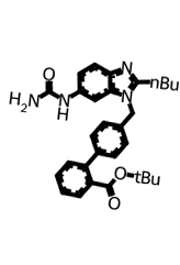 CCCCc1nc2ccc(NC(N)=O)cc2n1Cc1ccc(-c2ccccc2C(=O)OC(C)(C)C)cc1